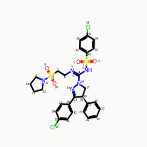 O=S(=O)(N/C(=N/CCS(=O)(=O)N1CCCC1)N1C[C@@H](c2ccccc2)C(c2ccc(Cl)cc2)=N1)c1ccc(Cl)cc1